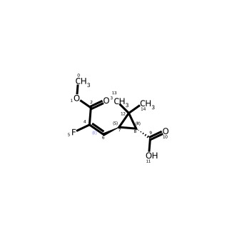 COC(=O)/C(F)=C\[C@@H]1[C@@H](C(=O)O)C1(C)C